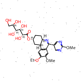 CCOc1cc2c(cc1OC)C(c1cnc(OC)nc1)=N[C@@H]1CC[C@@H](OC(=O)[C@H](O)[C@@H](O)[C@H](O)[C@H](O)CO)C[C@H]21